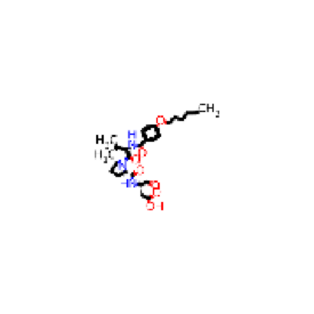 CCCCCCOc1ccc(C(=O)N[C@H](C(=O)N2CCC[C@H]2C(=O)N[C@H](C=O)CC(=O)O)C(C)C)cc1